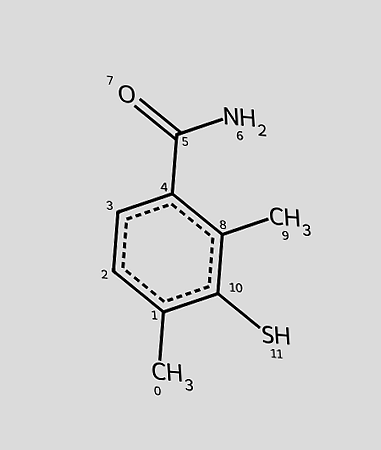 Cc1ccc(C(N)=O)c(C)c1S